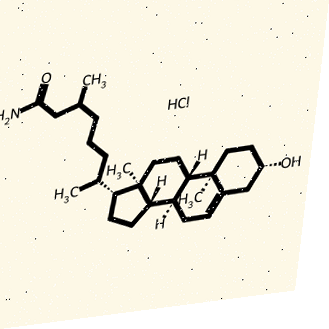 CC(CCCC(C)[C@H]1CC[C@H]2[C@@H]3CC=C4C[C@@H](O)CC[C@]4(C)[C@H]3CC[C@]12C)CC(N)=O.Cl